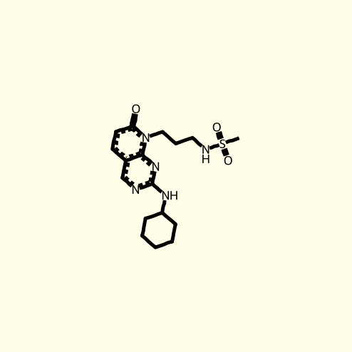 CS(=O)(=O)NCCCn1c(=O)ccc2cnc(NC3CCCCC3)nc21